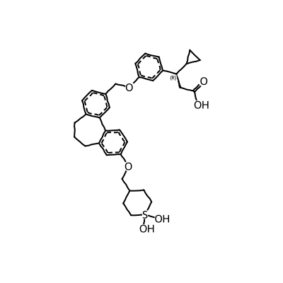 O=C(O)C[C@@H](c1cccc(OCc2ccc3c(c2)-c2ccc(OCC4CCS(O)(O)CC4)cc2CCC3)c1)C1CC1